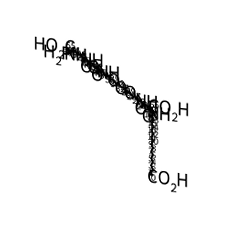 O=C(O)CCCCCCCCCCCCCCCCC(=O)N[C@@H](CCC(=O)NCCCOCCOCCOCCCNC(=O)COCC(=O)NCCCC[C@H](NP)C(=O)O)C(=O)O